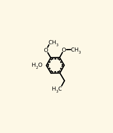 CCc1ccc(OC)c(OC)c1.O